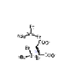 CCC[CH2][Sn+]([CH2]C)[CH2]C.CCC[CH2][Sn+]([CH2]C)[CH2]C.O=C([O-])/C=C\C(=O)[O-]